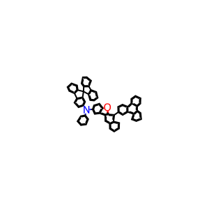 c1ccc(N(c2ccc3c(c2)C2(c4ccccc4-c4ccccc42)c2ccccc2-3)c2ccc3oc4c(-c5ccc6c7ccccc7c7ccccc7c6c5)c5ccccc5cc4c3c2)cc1